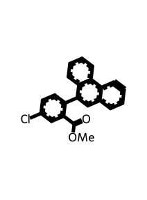 COC(=O)c1cc(Cl)ccc1-c1cc2ccc#cc2c2ccccc12